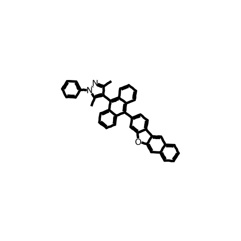 Cc1nn(-c2ccccc2)c(C)c1-c1c2ccccc2c(-c2ccc3c(c2)oc2cc4ccccc4cc23)c2ccccc12